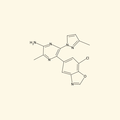 Cc1ccn(-c2nc(N)c(C)nc2-c2cc(Cl)c3ocnc3c2)n1